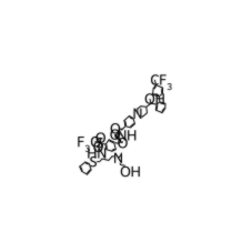 CN(CCO)CCC(CSc1ccccc1)Nc1ccc(S(=O)(=O)NC(=O)c2ccc(N3CCC(C(O)c4ccccc4-c4ccc(C(F)(F)F)cc4)CC3)cc2)cc1S(=O)(=O)C(F)(F)F